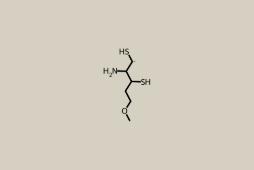 COCCC(S)C(N)[CH]S